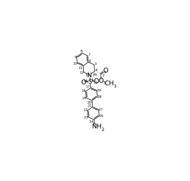 COC(=O)[C@H]1Cc2ccccc2CN1S(=O)(=O)c1ccc(-c2ccc(N)cc2)cc1